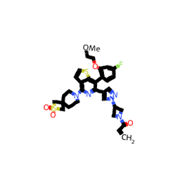 C=CC(=O)N1CC(n2cc(-c3nc(N4CCC5(CC4)CS(=O)(=O)C5)c4ccsc4c3-c3ccc(F)cc3OCCOC)cn2)C1